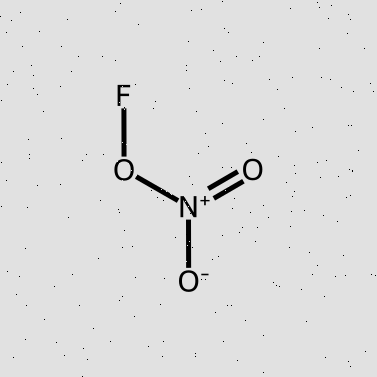 O=[N+]([O-])OF